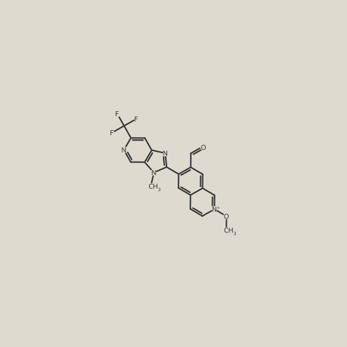 CO[n+]1ccc2cc(-c3nc4cc(C(F)(F)F)ncc4n3C)c(C=O)cc2c1